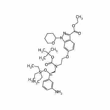 CCOC(=O)c1nn(C2CCCCO2)c2cc(OCCN(C[C@H](O[Si](CC)(CC)CC)c3cccc(N)c3)C(=O)OC(C)(C)C)ccc12